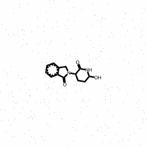 O=C1NC(O)CCC1N1Cc2ccccc2C1=O